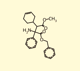 COC(=O)C(C1CC=CCC1)C(N)(C(=O)OCc1ccccc1)c1ccccc1